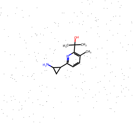 Cc1ccc(C2CC2N)nc1C(C)(C)O